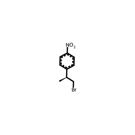 C[C@H](CBr)c1ccc([N+](=O)[O-])cc1